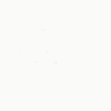 CC(C)[C@H](NC(=O)OCC1c2ccccc2-c2ccccc21)C(=O)N(C)[C@@H](CCC(=O)NC(c1ccccc1)(c1ccccc1)c1ccccc1)C(=O)O